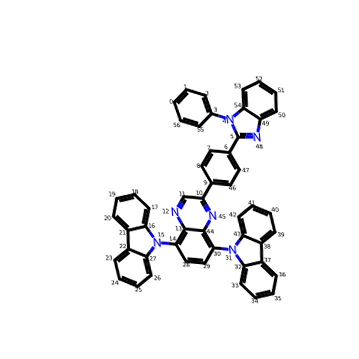 c1ccc(-n2c(-c3ccc(-c4cnc5c(-n6c7ccccc7c7ccccc76)ccc(-n6c7ccccc7c7ccccc76)c5n4)cc3)nc3ccccc32)cc1